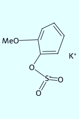 COc1ccccc1O[S-](=O)=O.[K+]